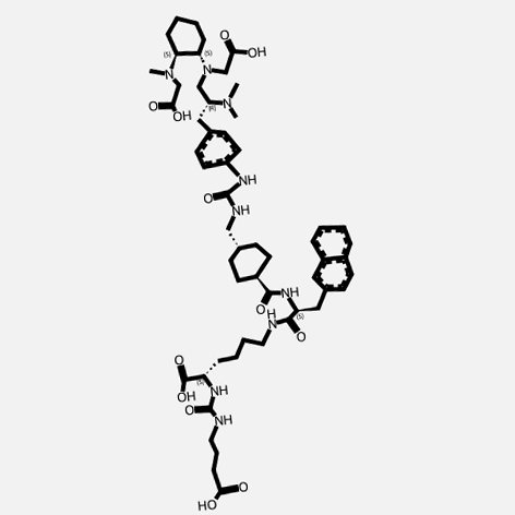 CN(C)[C@H](Cc1ccc(NC(=O)NC[C@H]2CC[C@H](C(=O)N[C@@H](Cc3ccc4ccccc4c3)C(=O)NCCCC[C@H](NC(=O)NCCCC(=O)O)C(=O)O)CC2)cc1)CN(CC(=O)O)[C@H]1CCCC[C@@H]1N(C)CC(=O)O